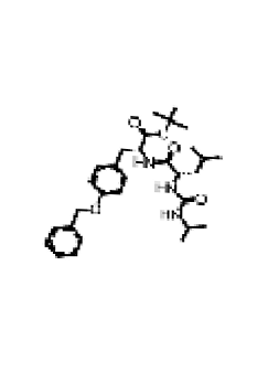 CC(C)C[C@H](NC(=O)NC(C)C)C(=O)N[C@@H](Cc1ccc(OCc2ccccc2)cc1)C(=O)OC(C)(C)C